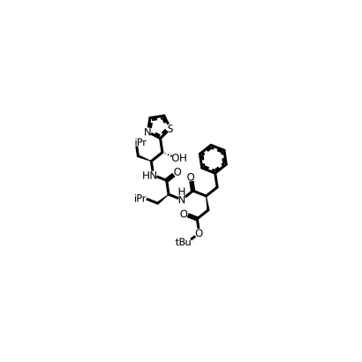 CC(C)C[C@H](NC(=O)[C@H](CC(=O)OC(C)(C)C)Cc1ccccc1)C(=O)N[C@@H](CC(C)C)[C@@H](O)c1nccs1